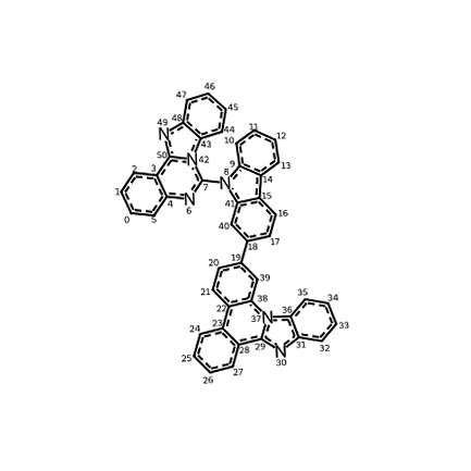 c1ccc2c(c1)nc(-n1c3ccccc3c3ccc(-c4ccc5c6ccccc6c6nc7ccccc7n6c5c4)cc31)n1c3ccccc3nc21